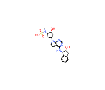 CN([C@H]1C[C@@H](n2ccc3c(N[C@@H]4c5ccccc5C[C@@H]4O)ncnc32)C[C@@H]1O)S(=O)(=O)O